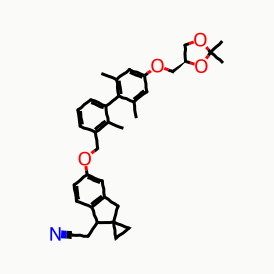 Cc1cc(OC[C@H]2COC(C)(C)O2)cc(C)c1-c1cccc(COc2ccc3c(c2)CC2(CC2)C3CC#N)c1C